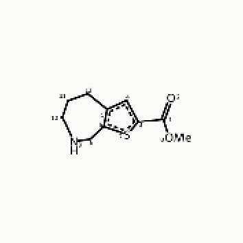 COC(=O)c1cc2c(s1)CNCCC2